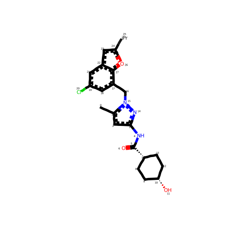 Cc1cc(NC(=O)[C@H]2CC[C@@H](O)CC2)nn1Cc1cc(Cl)cc2cc(C(C)C)oc12